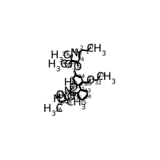 CCCc1cc(OCc2ccc(-c3ccccc3S(=O)(=O)Nc3onc(C)c3C)c(COCC)c2)c(OC)c(C)n1